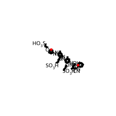 Cc1cc(N=Nc2cc(OCCCS(=O)(=O)O)c(N=Nc3c(C)c(C#N)c4nc5ccccc5n4c3O)cc2C)c(OCCCS(=O)(=O)O)cc1N=Nc1ccc(OCCCS(=O)(=O)O)cc1